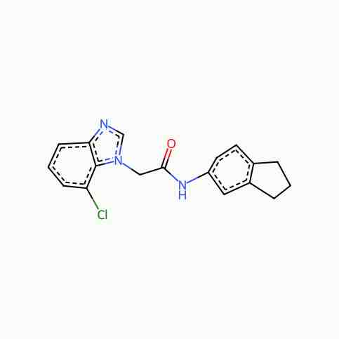 O=C(Cn1cnc2cccc(Cl)c21)Nc1ccc2c(c1)CCC2